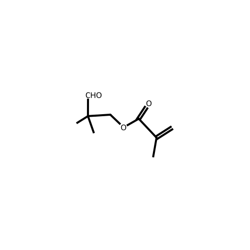 C=C(C)C(=O)OCC(C)(C)C=O